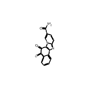 NC(=O)c1ccc2nc3c(n2c1)C(=O)C(=O)c1ccccc1-3